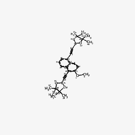 COc1ccc2c(C#CB3OC(C)(C)C(C)(C)O3)cccc2c1C#CB1OC(C)(C)C(C)(C)O1